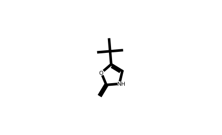 C=C1NC=C(C(C)(C)C)O1